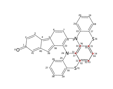 O=C1C=CC2=c3ccc(N4c5ccccc5Sc5ccccc54)c(N4c5ccccc5Sc5ccccc54)c3=CC2=C1